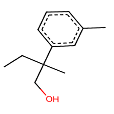 CCC(C)(CO)c1cccc(C)c1